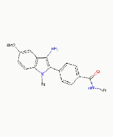 CCn1c(-c2ccc(C(=O)NC(C)C)cc2)c(N)c2cc(OC)ccc21